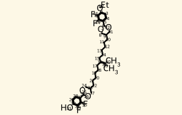 CCOc1ccc(C2OCC(CCCCCCC(CCCCCCC3COC(c4ccc(O)c(F)c4F)OC3)=C(C)C)CO2)c(F)c1F